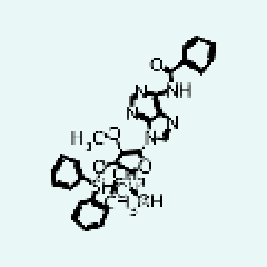 CO[C@@H]1[C@H](O[Si](c2ccccc2)(c2ccccc2)C(C)(C)C)[C@@H](CO)O[C@H]1n1cnc2c(NC(=O)c3ccccc3)ncnc21